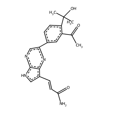 CC(=O)c1cc(-c2cnc3[nH]cc(C=CC(N)=O)c3n2)ccc1C(C)(C)O